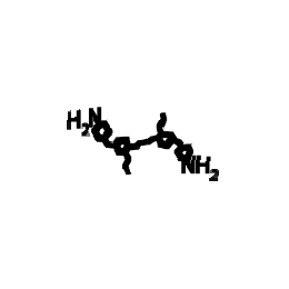 CCCc1cc(Cc2ccc(N)cc2)ccc1CCCCc1ccc(Cc2ccc(N)cc2)cc1CCC